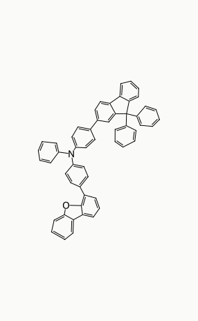 c1ccc(N(c2ccc(-c3ccc4c(c3)C(c3ccccc3)(c3ccccc3)c3ccccc3-4)cc2)c2ccc(-c3cccc4c3oc3ccccc34)cc2)cc1